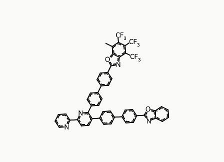 Cc1c(C(F)(F)F)c(C(F)(F)F)c(C(F)(F)F)c2nc(-c3ccc(-c4ccc(-c5nc(-c6ccccn6)ccc5-c5ccc(-c6ccc(-c7nc8ccccc8o7)cc6)cc5)cc4)cc3)oc12